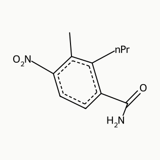 CCCc1c(C(N)=O)ccc([N+](=O)[O-])c1C